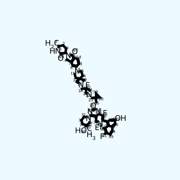 C=C1CC[C@H](N2Cc3cc(N4CCC5(CC4)CN(CC4(F)CN(CC6(COc7nc(N8CCC[C@@](C)(O)C8)c8cnc(-c9cc(O)cc%10ccc(F)c(CC)c9%10)c(F)c8n7)CC6)C4)C5)ccc3C2=O)C(=O)N1